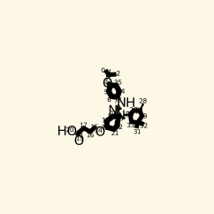 CC(C)Oc1ccc(Nc2nc3cc(OCCCC(=O)O)ccc3n2[C@H]2C[C@@H](C)CC(C)(C)C2)cc1